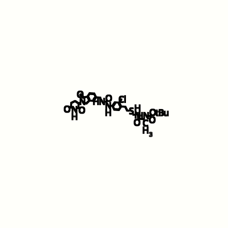 C[C@H](NC(=O)OC(C)(C)C)C(=O)NCSCCc1ccc(NC(=O)NCc2ccc3c(c2)CN(C2CCC(=O)NC2=O)C3=O)cc1Cl